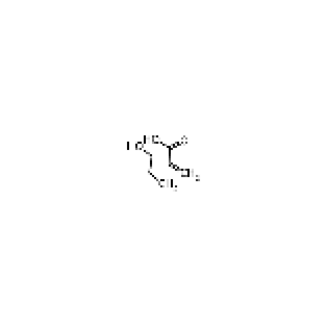 C=CC(=O)O.[CH2]CCO